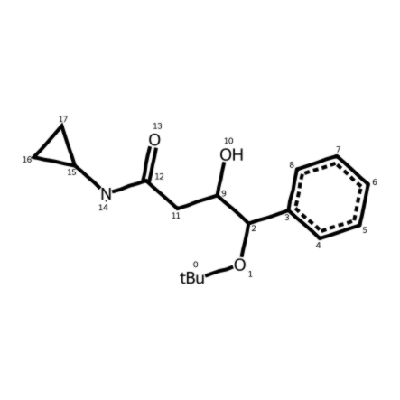 CC(C)(C)OC(c1ccccc1)C(O)CC(=O)[N]C1CC1